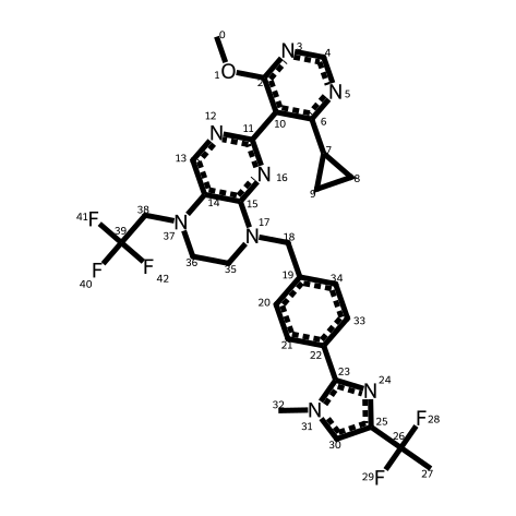 COc1ncnc(C2CC2)c1-c1ncc2c(n1)N(Cc1ccc(-c3nc(C(C)(F)F)cn3C)cc1)CCN2CC(F)(F)F